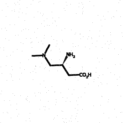 CN(C)C[C@H](N)CC(=O)O